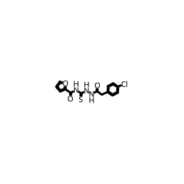 O=C(Cc1ccc(Cl)cc1)NNC(=S)NC(=O)c1ccco1